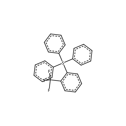 FC(F)(F)c1ccccc1S(c1ccccc1)(c1ccccc1)c1ccccc1